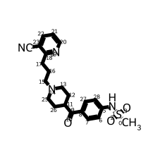 CS(=O)(=O)Nc1ccc(C(=O)C2CCN(CCCc3ncccc3C#N)CC2)cc1